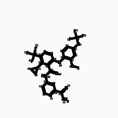 COc1cc(OC(F)(F)F)ccc1Oc1ccc(C(F)(F)F)c(C2CC2)c1C(=O)Nc1ccnc(C(N)=O)c1